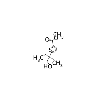 CCC(CC)(CO)c1ccc(C(=O)OC)s1